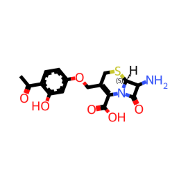 CC(=O)c1ccc(OCC2=C(C(=O)O)N3C(=O)C(N)[C@@H]3SC2)cc1O